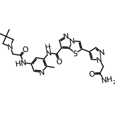 Cc1ncc(NC(=O)CN2CC(C)(C)C2)cc1NC(=O)c1cnn2cc(-c3cnn(CC(N)=O)c3)sc12